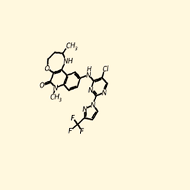 CC1CCOc2c(c3cc(Nc4nc(-n5ccc(C(F)(F)F)n5)ncc4Cl)ccc3n(C)c2=O)N1